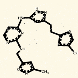 Cc1csc(CCc2cc(Nc3ccnc(NCc4cc(C)no4)n3)[nH]n2)c1